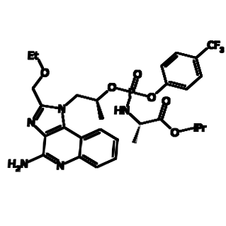 CCOCc1nc2c(N)nc3ccccc3c2n1C[C@H](C)OP(=O)(N[C@@H](C)C(=O)OC(C)C)Oc1ccc(C(F)(F)F)cc1